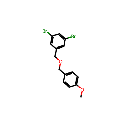 COc1ccc(COCc2cc(Br)cc(Br)c2)cc1